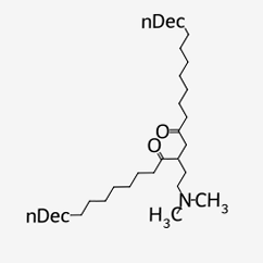 CCCCCCCCCCCCCCCCCC(=O)CC(CCN(C)C)C(=O)CCCCCCCCCCCCCCCCC